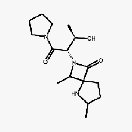 CC1CCC2(N1)C(=O)N([C@H](C(=O)N1CCCC1)[C@@H](C)O)C2C